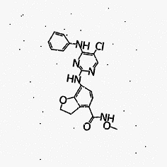 CONC(=O)c1ccc(Nc2ncc(Cl)c(Nc3[c]cccc3)n2)c2c1CCO2